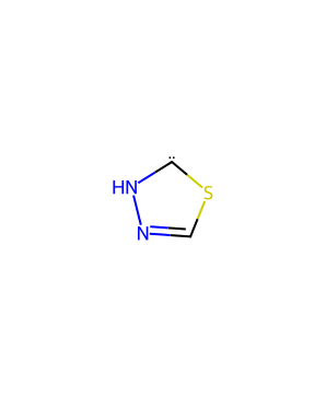 [C]1NN=CS1